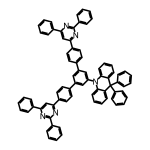 c1ccc(-c2cc(-c3ccc(-c4cc(-c5ccc(-c6cc(-c7ccccc7)nc(-c7ccccc7)n6)cc5)cc(N5c6ccccc6C(c6ccccc6)(c6ccccc6)c6ccccc65)c4)cc3)nc(-c3ccccc3)n2)cc1